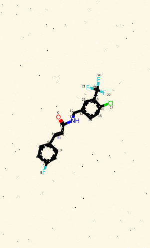 O=C(/C=C/c1ccc(F)cc1)NCc1ccc(Cl)c(C(F)(F)F)c1